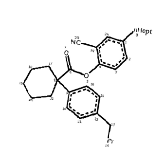 CCCCCCCc1ccc(OC(=O)C2(c3ccc(CC(C)C)cc3)CCCCC2)c(C#N)c1